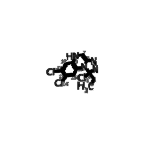 CCC1(Cl)N=NC2=CNc3cc(Cl)c(Cl)cc3N21